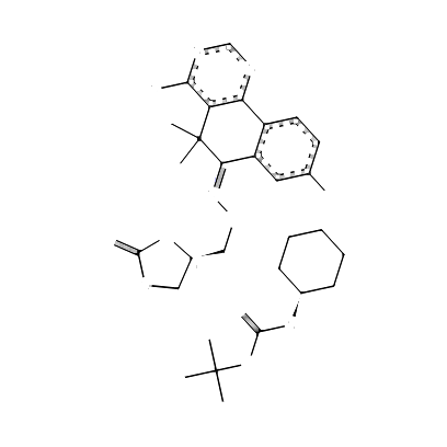 CC(C)(C)OC(=O)N[C@H]1CC[C@H](Oc2ccc3c(c2)/C(=N\OC[C@H]2CNC(=O)O2)C(C)(C)c2c(N)ncnc2-3)CC1